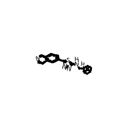 CC1(C)C2CC[C@H](CNc3nnc(-c4ccc5cnccc5c4)s3)C1C2